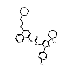 Cc1ccc(-n2nc([Si]3(C)CCCCC3)cc2NC(=O)Nc2ccc(OCCN3CCOCC3)c3ccccc23)cc1